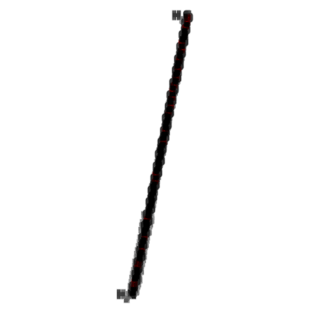 COCCOCCOCCOCCOCCOCCOCCOCCOCCOCCOCCOCCOCCOCCOCCOCCOCCOCCOCCOCCOCCOCCOCCOCCOCCOCCOCCOCCOCCOCCOCCOCCOCCOCCOCCOCCOCCOCCOCCOCCOCCOCCOCCOCCOCCOCCCN